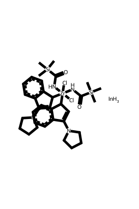 C[Si](C)(C)C(=O)[NH][Zr]([Cl])([Cl])([NH]C(=O)[Si](C)(C)C)([CH]1C=C(N2CCCC2)c2ccccc21)[CH]1C=C(N2CCCC2)c2ccccc21.[InH3]